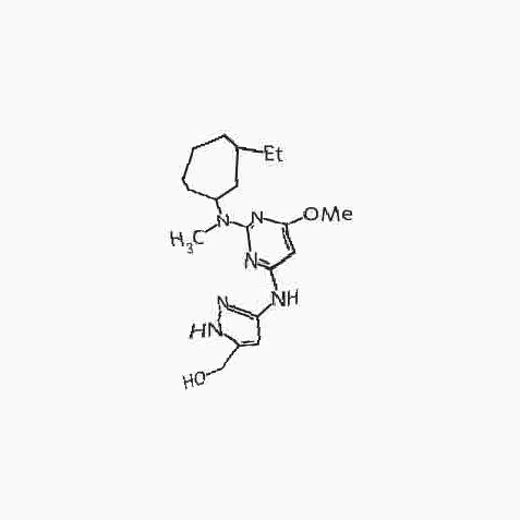 CCC1CCCCC(N(C)c2nc(Nc3cc(CO)[nH]n3)cc(OC)n2)C1